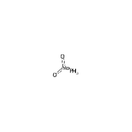 P.[O]=[Mo]=[O]